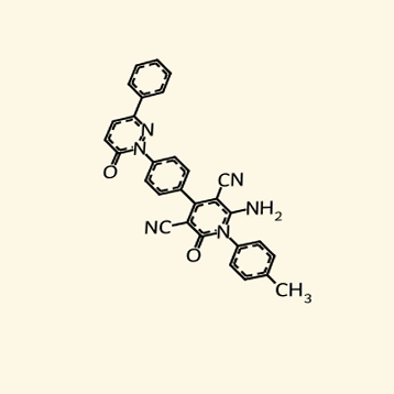 Cc1ccc(-n2c(N)c(C#N)c(-c3ccc(-n4nc(-c5ccccc5)ccc4=O)cc3)c(C#N)c2=O)cc1